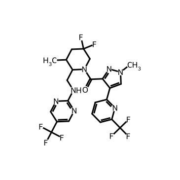 CC1CC(F)(F)CN(C(=O)c2nn(C)cc2-c2cccc(C(F)(F)F)n2)C1CNc1ncc(C(F)(F)F)cn1